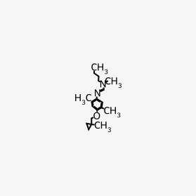 CCCCN(C)C=Nc1cc(C)c(OCC2(C)CC2)cc1C